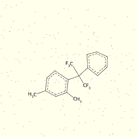 Cc1ccc(C(c2ccccc2)(C(F)(F)F)C(F)(F)F)c(C)c1